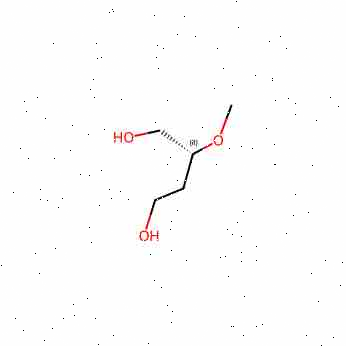 CO[C@@H](CO)CCO